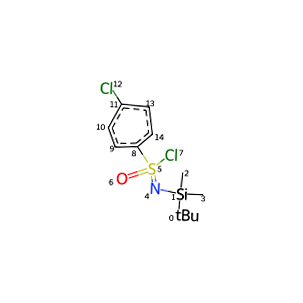 CC(C)(C)[Si](C)(C)N=S(=O)(Cl)c1ccc(Cl)cc1